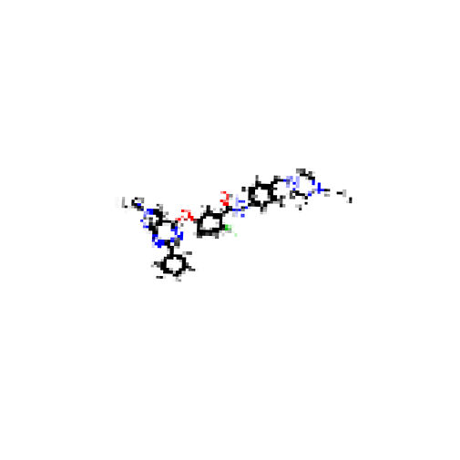 CN1CCN(Cc2ccc(NC(=O)c3cc(Oc4nc(-c5ccccc5)nc5nn(C)cc45)ccc3Cl)cc2C(F)(F)F)CC1